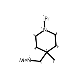 CNCC1(C)CCN(C(C)C)CC1